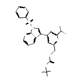 CC(C)(C)OC(=O)NCc1cc(-c2cn(S(=O)(=O)c3ccccc3)c3ncccc23)cc(C(F)F)n1